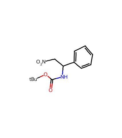 CC(C)(C)OC(=O)NC(C[N+](=O)[O-])c1ccccc1